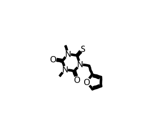 Cn1c(=O)n(C)c(=S)n(Cc2ccco2)c1=O